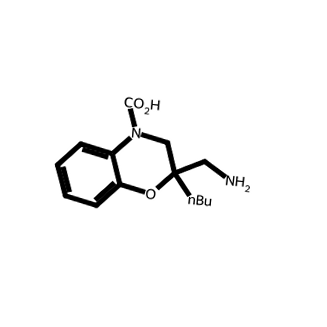 CCCCC1(CN)CN(C(=O)O)c2ccccc2O1